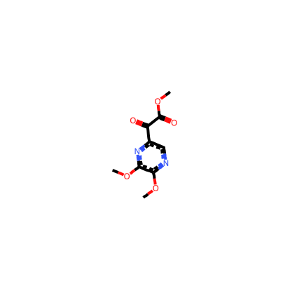 COC(=O)C(=O)c1cnc(OC)c(OC)n1